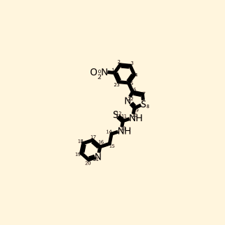 O=[N+]([O-])c1cccc(-c2csc(NC(=S)NCCc3ccccn3)n2)c1